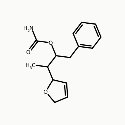 CC(C1C=CCO1)C(Cc1ccccc1)OC(N)=O